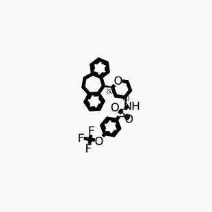 O=S(=O)(N[C@@H]1CCO[C@H](C2c3ccccc3CCc3ccccc32)C1)c1ccc(OC(F)(F)F)cc1